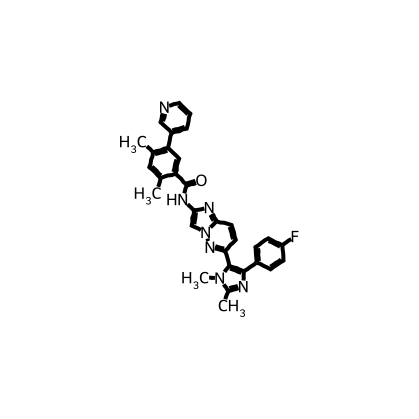 Cc1cc(C)c(-c2cccnc2)cc1C(=O)Nc1cn2nc(-c3c(-c4ccc(F)cc4)nc(C)n3C)ccc2n1